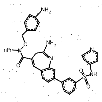 CCCN(OCc1ccc(N)cc1)C(=O)C1=Cc2ccc(-c3cccc(S(=O)(=O)Nc4ccncc4)c3)cc2N=C(N)C1